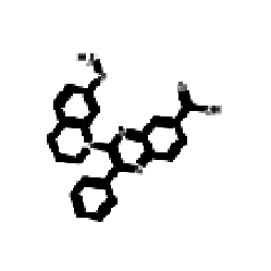 COc1ccc2c(c1)N(c1nc3cc(C(=O)O)ccc3nc1-c1ccccc1)CCC2